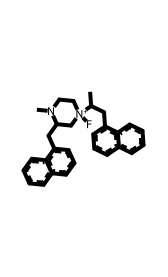 CC(Cc1cccc2ccccc12)[N+]1(F)CCN(C)C(Cc2cccc3ccccc23)C1